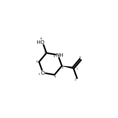 C=C(C)[C@H]1COCC(O)N1